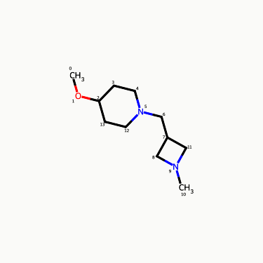 COC1CCN(CC2CN(C)C2)CC1